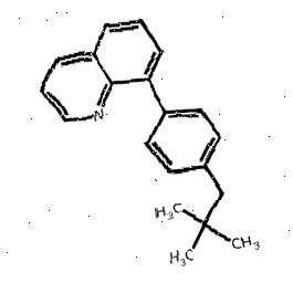 CC(C)(C)Cc1ccc(-c2cccc3cccnc23)cc1